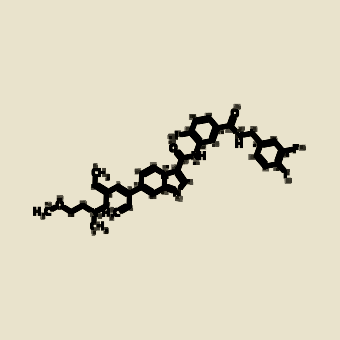 C=C/C(=C\C(=C/C)CN(C)CCOC)c1ccn2c(C(=O)Nc3cc(C(=O)NCc4ccc(F)c(F)c4)ccc3F)cnc2c1